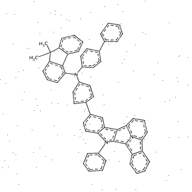 CC1(C)c2ccccc2-c2c(N(c3ccc(-c4ccccc4)cc3)c3ccc(-c4ccc5c(c4)c4c(c6c7ccccc7c7cccc4n76)n5-c4ccccc4)cc3)cccc21